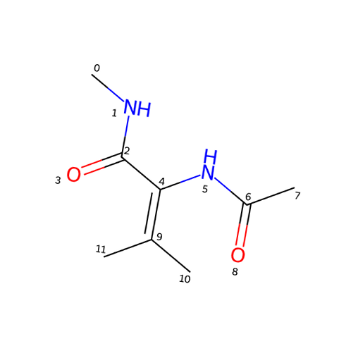 CNC(=O)C(NC(C)=O)=C(C)C